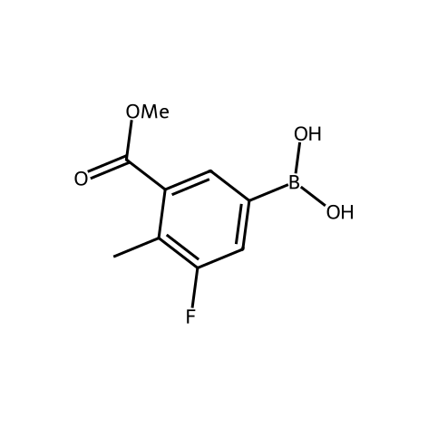 COC(=O)c1cc(B(O)O)cc(F)c1C